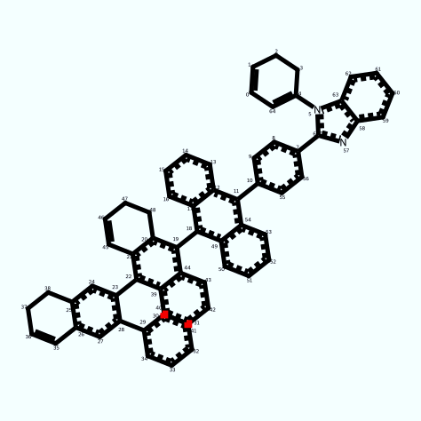 C1=CCCC(n2c(-c3ccc(-c4c5ccccc5c(-c5c6c(c(-c7cc8c(cc7-c7ccccc7)C=CCC8)c7ccccc57)C=CCC6)c5ccccc45)cc3)nc3ccccc32)=C1